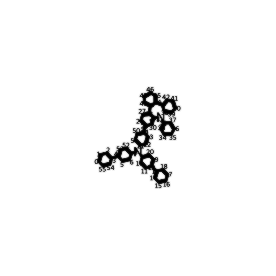 c1ccc(-c2ccc(N(c3ccc(-c4ccccc4)cc3)c3ccc(-c4ccc5c(c4)N(c4ccccc4)c4ccccc4-c4ccccc4-5)cc3)cc2)cc1